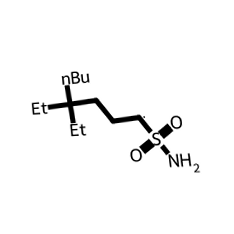 CCCCC(CC)(CC)CC[CH]S(N)(=O)=O